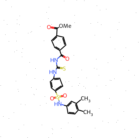 COC(=O)c1ccc(C(=O)NC(=S)Nc2ccc(S(=O)(=O)Nc3ccc(C)c(C)c3)cc2)cc1